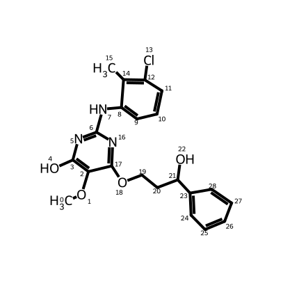 COc1c(O)nc(Nc2cccc(Cl)c2C)nc1OCCC(O)c1ccccc1